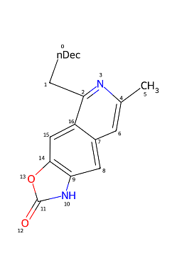 CCCCCCCCCCCc1nc(C)cc2cc3[nH]c(=O)oc3cc12